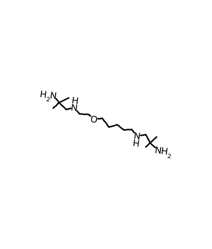 CC(C)(N)CNCCCCCOCCNCC(C)(C)N